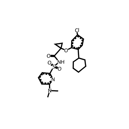 CN(C)c1cccc(S(=O)(=O)NC(=O)C2(Oc3cc(Cl)ccc3C3CCCCC3)CC2)n1